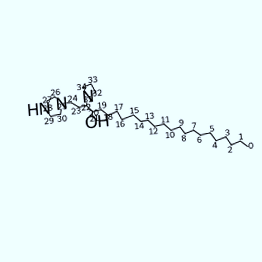 CCCCCCCCCCCCCCCCCCCCC(O)C(CCN1CCNCC1)N1CCC1